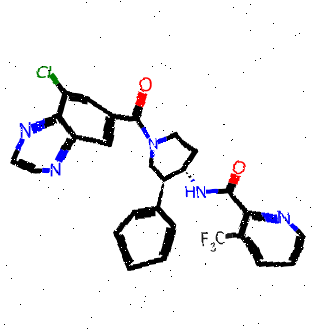 O=C(N[C@H]1CCN(C(=O)c2cc(Cl)c3nccnc3c2)C[C@@H]1c1ccccc1)c1ncccc1C(F)(F)F